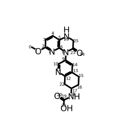 COc1ccc2c(n1)N(c1cnc3c(c1)CCC(NC(=O)O)C3)C(=O)CN2